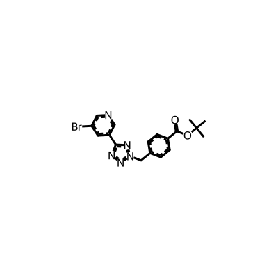 CC(C)(C)OC(=O)c1ccc(Cn2nnc(-c3cncc(Br)c3)n2)cc1